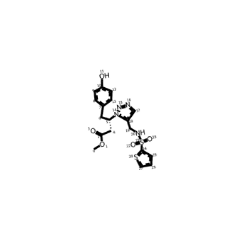 COC(=O)C[C@H](Cc1ccc(O)cc1)n1nncc1CNS(=O)(=O)c1cccs1